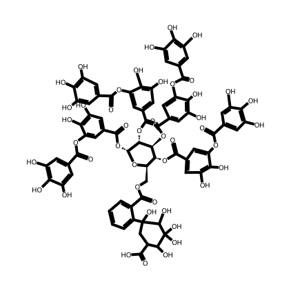 O=C(Oc1cc(C(=O)O[C@H]2O[C@H](COC(=O)c3ccccc3C3(O)CC(C(=O)O)C(O)C(O)(O)C3O)[C@@H](OC(=O)c3cc(O)c(O)c(OC(=O)c4cc(O)c(O)c(O)c4)c3)[C@H](OC(=O)c3cc(O)c(O)c(OC(=O)c4cc(O)c(O)c(O)c4)c3)[C@H]2OC(=O)c2cc(O)c(O)c(OC(=O)c3cc(O)c(O)c(O)c3)c2)cc(O)c1O)c1cc(O)c(O)c(O)c1